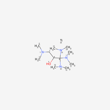 CN(C)CC(O)C(N(C)C)(N(C)C)N(C)C.[Ti]